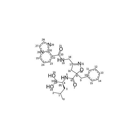 CC(C)C[C@H](NC(=O)C1(Cc2ccccc2)CC(CNC(=O)c2cccn3ccnc23)=NO1)B(O)O